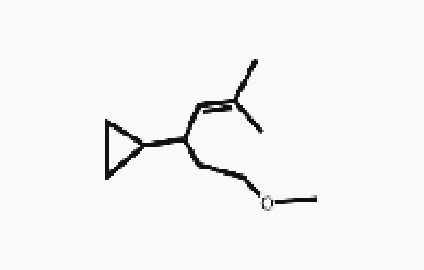 COCCC(C=C(C)C)C1CC1